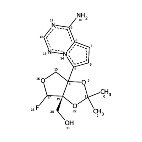 CC1(C)OC2(c3ccc4c(N)ncnn34)COC(F)[C@@]2(CO)O1